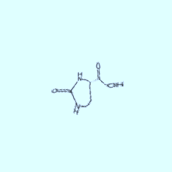 O=C1NC[C@@H](C(=O)O)N1